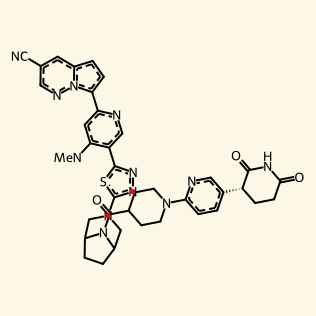 CNc1cc(-c2ccc3cc(C#N)cnn23)ncc1-c1nnc(N2CC3CCC(C2)N3C(=O)C2CCN(c3ccc([C@H]4CCC(=O)NC4=O)cn3)CC2)s1